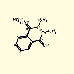 COC(=N)c1ccccc1C(=N)OC.Cl